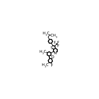 Cc1cc(-c2nccc3c(C(F)(F)F)c(-c4ccc(CC(C)C)cc4)sc23)c2oc3cc(F)c(C)cc3c2c1